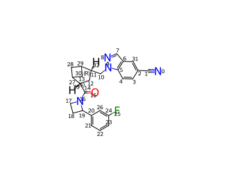 N#Cc1ccc2c(cnn2C[C@@H]2C[C@H](C(=O)N3CCC3c3cccc(F)c3)C3CC2C3)c1